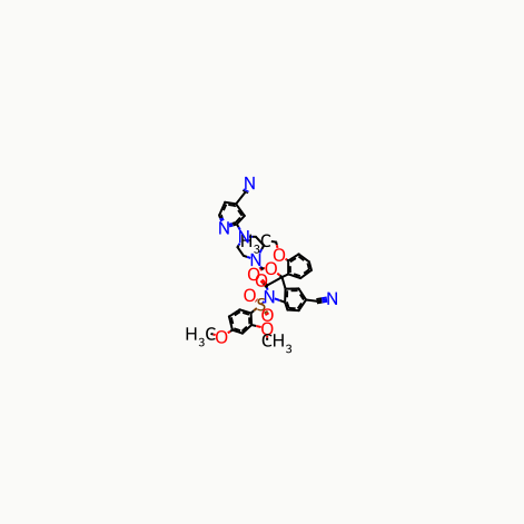 CCOc1ccccc1C1(OC(=O)N2CCN(c3cc(C#N)ccn3)CC2)C(=O)N(S(=O)(=O)c2ccc(OC)cc2OC)c2ccc(C#N)cc21